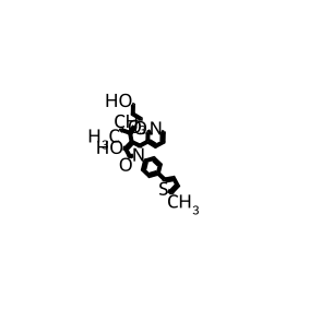 Cc1ccc(-c2ccc(N3C(=O)C(O)=C(C(=O)C(C)C)C3c3cccnc3OCCCO)cc2)s1